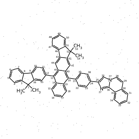 CC1(C)c2ccccc2-c2ccc(-c3c4ccccc4c(-c4ccc(-c5cn6ccc7ccccc7c6n5)cc4)c4cc5c(cc34)-c3ccccc3C5(C)C)cc21